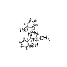 Cc1nc(-c2ccccc2O)nc(-c2ccccc2O)n1